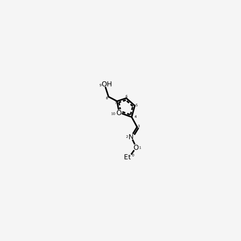 CCON=Cc1ccc(CO)o1